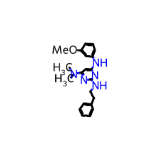 COc1cccc(Nc2cc(N(C)C)nc(NCCc3ccccc3)n2)c1